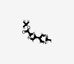 Cc1ncc(-c2cnc(C(=O)OC(C)(C)C)s2)cn1